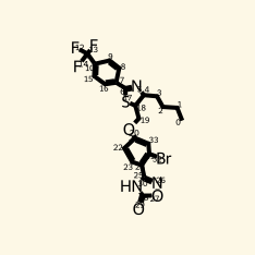 CCCCC1N=C(c2ccc(C(F)(F)F)cc2)SC1COc1ccc(-c2noc(=O)[nH]2)c(Br)c1